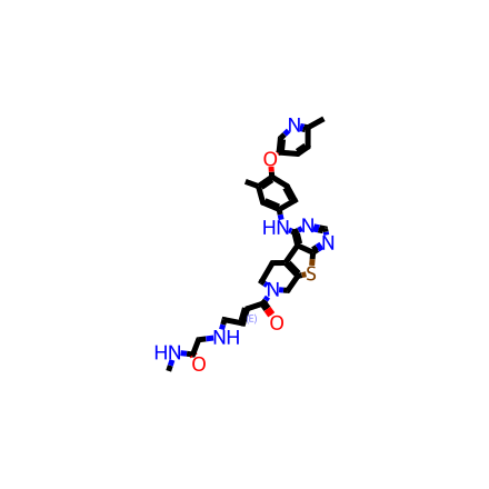 CNC(=O)CNC/C=C/C(=O)N1CCc2c(sc3ncnc(Nc4ccc(Oc5ccc(C)nc5)c(C)c4)c23)C1